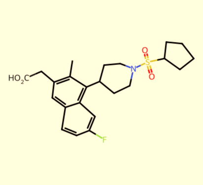 Cc1c(CC(=O)O)cc2ccc(F)cc2c1C1CCN(S(=O)(=O)C2CCCC2)CC1